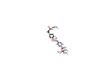 CCOC(=O)[C@@H]1C[C@H]1c1ccc(S(=O)(=O)NCC2CCN(C(=O)OC(C)(C)C)CC2)cc1